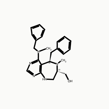 CN(Cc1ccccc1)c1ncnc2c1[C@@H](Cc1ccccc1)N(C)[C@H](CO)CN2